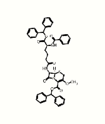 COC1=C(C(=O)OC(c2ccccc2)c2ccccc2)N2C(=O)[C@@H](NC(=O)CCCC(NC(=O)c3ccccc3)C(=O)OC(c3ccccc3)c3ccccc3)[C@H]2SC1